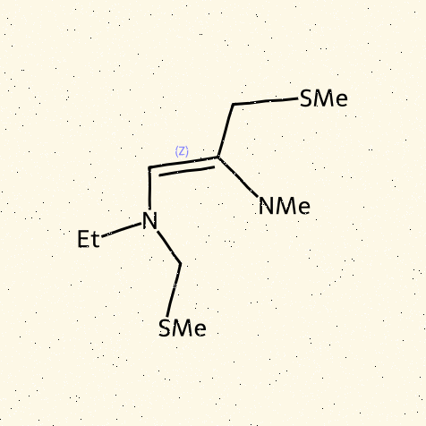 CCN(/C=C(/CSC)NC)CSC